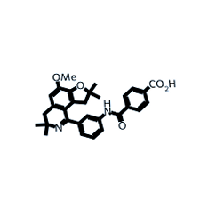 COc1cc2c(c3c1OC(C)(C)C3)C(c1cccc(NC(=O)c3ccc(C(=O)O)cc3)c1)=NC(C)(C)C2